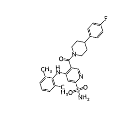 Cc1cccc(C)c1Nc1cc(S(N)(=O)=O)ncc1C(=O)N1CCC(c2ccc(F)cc2)CC1